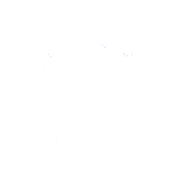 CN(c1ccc(NC(=O)Nc2ccccc2)cc1)S(=O)(=O)c1cccc(OC(F)F)c1